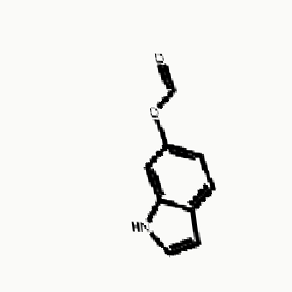 O=COc1ccc2cc[nH]c2c1